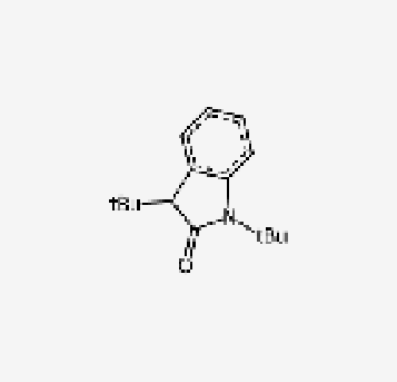 CC(C)(C)C1C(=O)N(C(C)(C)C)c2ccccc21